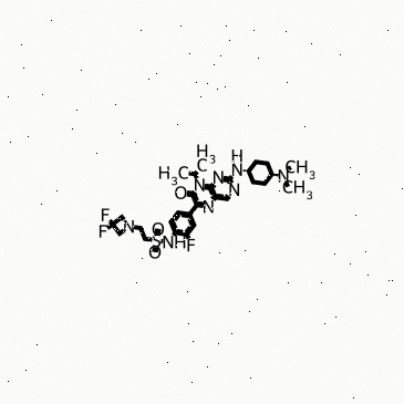 CC(C)n1c(=O)c(-c2ccc(NS(=O)(=O)CCN3CC(F)(F)C3)c(F)c2)nc2cnc(N[C@H]3CC[C@H](N(C)C)CC3)nc21